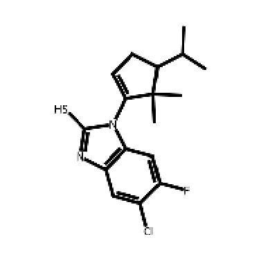 CC(C)C1CC=C(n2c(S)nc3cc(Cl)c(F)cc32)C1(C)C